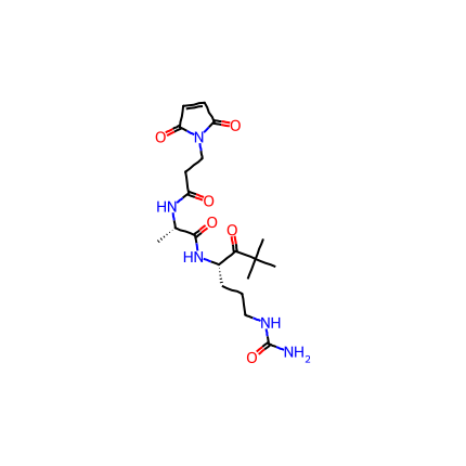 C[C@H](NC(=O)CCN1C(=O)C=CC1=O)C(=O)N[C@@H](CCCNC(N)=O)C(=O)C(C)(C)C